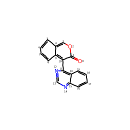 O=c1occ2ccccc2c1-c1n[c]nc2ccccc12